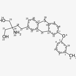 Cc1cccc(Oc2ccc3c(c2)Cc2cc(CCC(N)(CO)CO)ccc2S3)c1